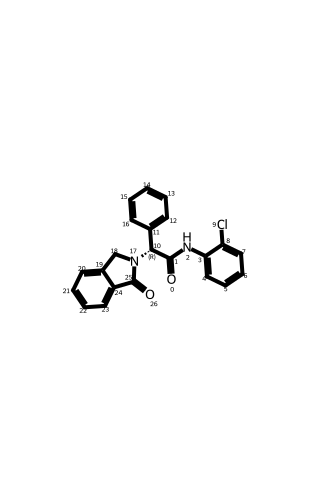 O=C(Nc1ccccc1Cl)[C@@H](c1ccccc1)N1Cc2ccccc2C1=O